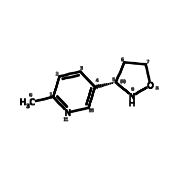 Cc1ccc([C@@H]2CCON2)cn1